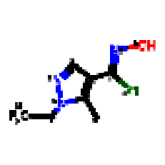 Cc1c(C(Cl)=NO)cnn1CC(F)(F)F